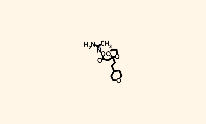 C/C(N)=N\OC(=O)CC1(CCC2CCOCC2)OCCO1